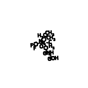 CCC[C@H](c1ccc(C(=O)NCCC(=O)O)cc1)N1C(=O)C(c2ccc(F)c(F)c2)=NC12CCC(C(C)(C)CC)CC2